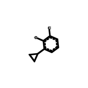 [O]c1c(Cl)cccc1C1CC1